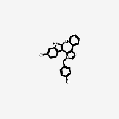 N#Cc1[nH]c2cc(Cl)ccc2c1-c1c(-c2ccccc2)ncn1Cc1ccc(Cl)cc1